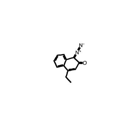 CCC1=CC(=O)C(=[N+]=[N-])c2ccccc21